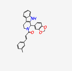 Cc1cccc(/C=C/C(=O)N2CCc3c([nH]c4ccccc34)C2c2ccc3c(c2)OCO3)c1